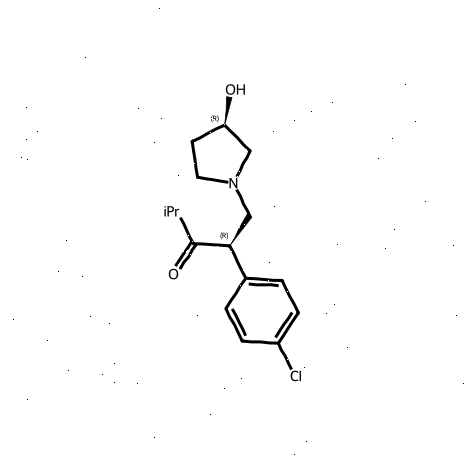 CC(C)C(=O)[C@@H](CN1CC[C@@H](O)C1)c1ccc(Cl)cc1